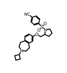 N#Cc1ccc(S(=O)(=O)N2CCCC2COc2ccc3c(c2)CCN(C2CCC2)CC3)cc1